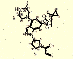 C=CC(=O)N1C[C@H](n2ncc3c(N4C[C@H](C)N[C@@H](C)C4)cc(S(=O)(=O)NC4(C)CC4)cc32)C[C@H]1C